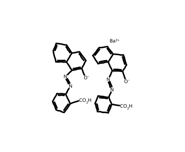 O=C(O)c1ccccc1N=Nc1c([O-])ccc2ccccc12.O=C(O)c1ccccc1N=Nc1c([O-])ccc2ccccc12.[Ba+2]